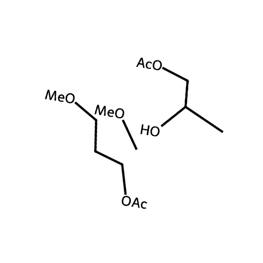 CC(=O)OCC(C)O.COC.COCCCOC(C)=O